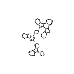 C1=Cc2c(sc3c4ccccc4c4c5ccccc5n(-c5ccc(-c6nc(-c7ccc8c(c7)c7ccccc7n8-c7ccccc7)nc7c6sc6ccccc67)cc5)c4c23)CC1